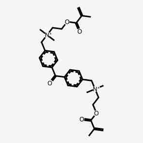 C=C(C)C(=O)OCC[N+](C)(C)Cc1ccc(C(=O)c2ccc(C[N+](C)(C)CCOC(=O)C(=C)C)cc2)cc1